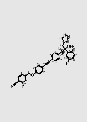 N#Cc1ccc(COc2ccc(C#Cc3ccc(C(F)(F)C(O)(Cn4cnnn4)c4cc(F)ccc4F)nc3)cc2)cc1F